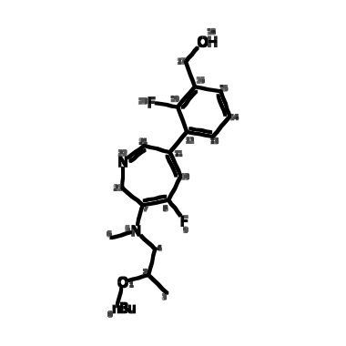 CCCCOC(C)CN(C)C1=C(F)C=C(c2cccc(CO)c2F)C=NC1